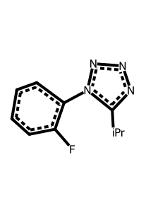 CC(C)c1nnnn1-c1ccccc1F